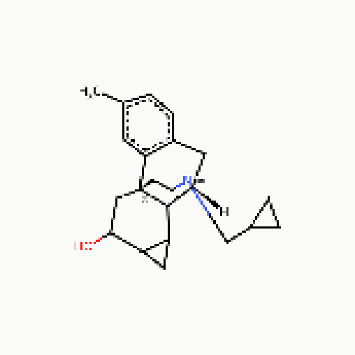 Cc1ccc2c(c1)[C@]13CCN(CC4CC4)[C@H](C2)C1C1CC1C(O)C3